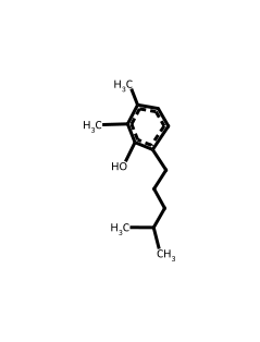 Cc1ccc(CCCC(C)C)c(O)c1C